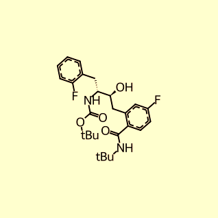 CC(C)(C)NC(=O)c1ccc(F)cc1C[C@H](O)[C@@H](Cc1ccccc1F)NC(=O)OC(C)(C)C